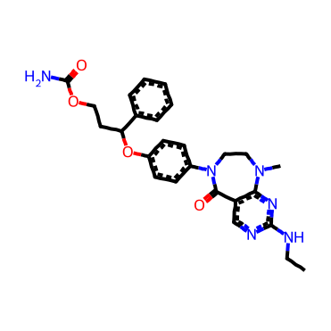 CCNc1ncc2c(n1)N(C)CCN(c1ccc(OC(CCOC(N)=O)c3ccccc3)cc1)C2=O